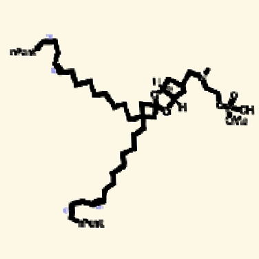 CCCCC/C=C\C/C=C\CCCCCCCCC1(CCCCCCCC/C=C\C/C=C\CCCCC)CC2(C1)O[C@H]1CC(CN(C)CCOP(=O)(O)OC)C[C@H]1O2